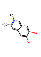 CC[n+]1cc2cc(O)c(O)cc2cc1C